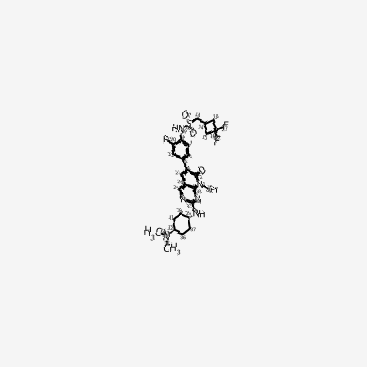 CC(C)n1c(=O)c(-c2ccc(NS(=O)(=O)CC3CC(F)(F)C3)c(F)c2)cc2cnc(N[C@H]3CC[C@H](N(C)C)CC3)nc21